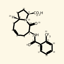 O=C(N[C@H]1C/C=C\C[C@@H]2CC[C@@H](C(=O)O)N2C1=O)c1ccccc1C(F)(F)F